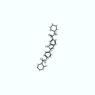 CC1CCCCC1C(=O)Nc1ccc(-c2cc3ccc(C(=O)NC4CCCCC4)cc3[nH]2)cc1